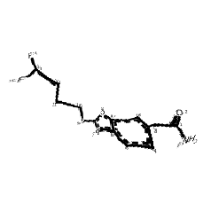 NC(=O)c1ccc2nc(SCCC=C(F)F)oc2c1